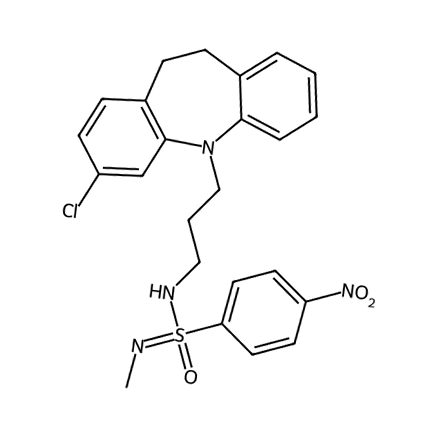 CN=S(=O)(NCCCN1c2ccccc2CCc2ccc(Cl)cc21)c1ccc([N+](=O)[O-])cc1